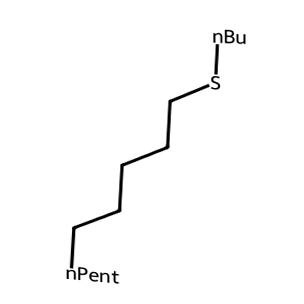 CCCCCCCCCCSCCCC